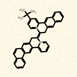 CC(C)(C)c1cc[n+]2c(c1)-c1cc3ccccc3cc1C/C2=C1/Cc2cc3ccc4ccccc4c3cc2-c2cccc[n+]21